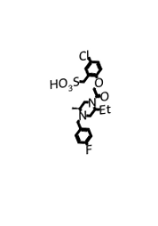 CCC1CN(Cc2ccc(F)cc2)[C@@H](C)CN1C(=O)COc1ccc(Cl)cc1CS(=O)(=O)O